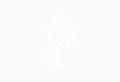 C[C@H]1C[C@H](n2ncc(C(=O)N(CC(=O)c3c(Cl)cncc3Cl)CC(C)(C)C(F)(F)F)c2C(F)(F)F)CC[C@H]1C(=O)O